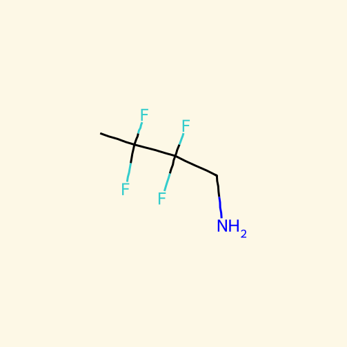 CC(F)(F)C(F)(F)CN